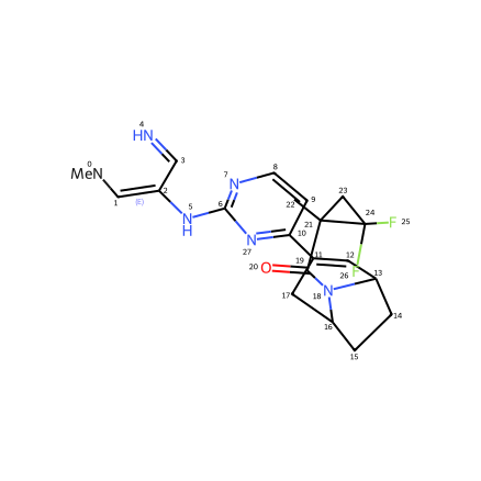 CN/C=C(\C=N)Nc1nccc(C2=CC3CCC(C2)N3C(=O)C2(C)CC2(F)F)n1